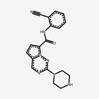 N#Cc1ccccc1NC(=O)c1ccc2cnc(N3CCNCC3)nn12